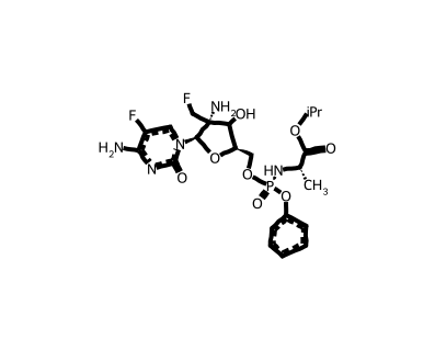 CC(C)OC(=O)[C@H](C)N[P@](=O)(OC[C@H]1O[C@@H](n2cc(F)c(N)nc2=O)[C@@](N)(CF)C1O)Oc1ccccc1